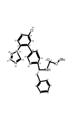 CC(C)(C)OC(=O)N[C@H](Cc1ccccc1)c1ccc(-c2cc(Cl)ccc2-n2cnnn2)cn1